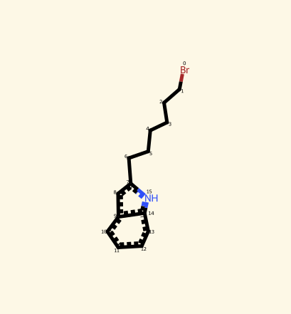 BrCCCCCCc1cc2ccccc2[nH]1